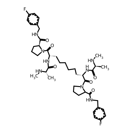 CN[C@@H](C)C(=O)N[C@@H](CCCCCC[C@H](NC(=O)[C@H](C)NC)C(=O)N1CCC[C@H]1C(=O)NCc1ccc(F)cc1)C(=O)N1CCCC1C(=O)NCc1ccc(F)cc1